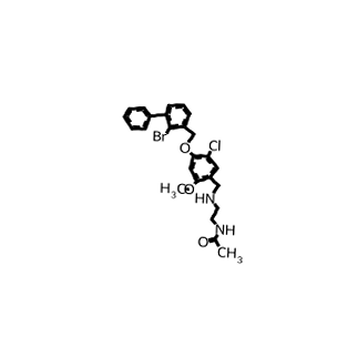 COc1cc(OCc2cccc(-c3ccccc3)c2Br)c(Cl)cc1CNCCNC(C)=O